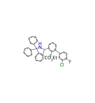 CCOC(=O)CC(NC(c1ccccc1)(c1ccccc1)c1ccccc1)c1cccc(-c2ccc(F)c(Cl)c2)c1F